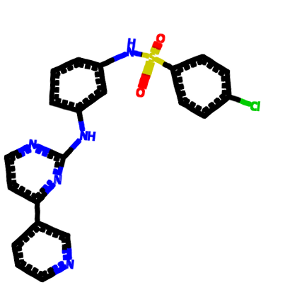 O=S(=O)(Nc1cccc(Nc2nccc(-c3cccnc3)n2)c1)c1ccc(Cl)cc1